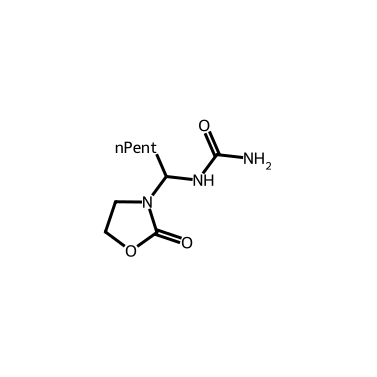 CCCCCC(NC(N)=O)N1CCOC1=O